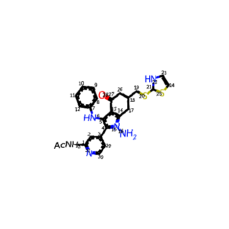 CC(=O)Nc1cc(-c2c(Nc3ccccc3)c3c(n2N)CC(CSC2NC=CS2)CC3=O)ccn1